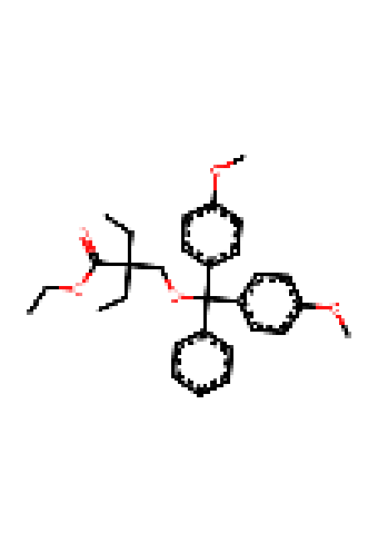 CCOC(=O)C(CC)(CC)COC(c1ccccc1)(c1ccc(OC)cc1)c1ccc(OC)cc1